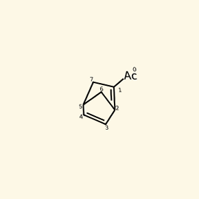 CC(=O)C1=C2C=CC(C2)C1